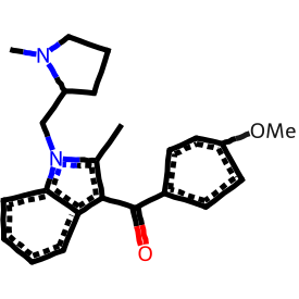 COc1ccc(C(=O)c2c(C)n(CC3CCCN3C)c3ccccc23)cc1